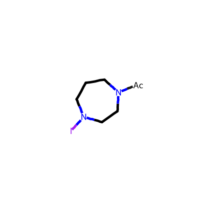 CC(=O)N1CCCN(I)CC1